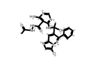 CC(=O)NNC(=O)c1c(N)ncnc1NC(C)(O)c1cc2ncc(Cl)n2nc1-c1ccccc1